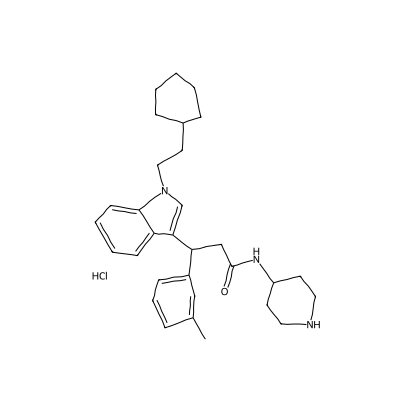 Cc1cccc(C(CC(=O)NC2CCNCC2)c2cn(CCC3CCCCC3)c3ccccc23)c1.Cl